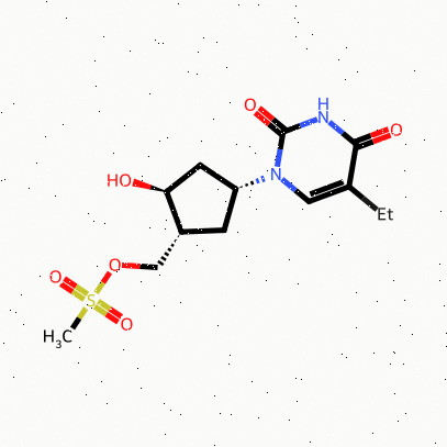 CCc1cn([C@@H]2C[C@H](COS(C)(=O)=O)[C@@H](O)C2)c(=O)[nH]c1=O